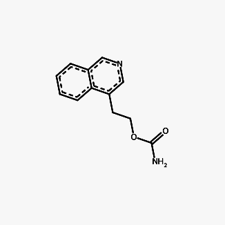 NC(=O)OCCc1cncc2ccccc12